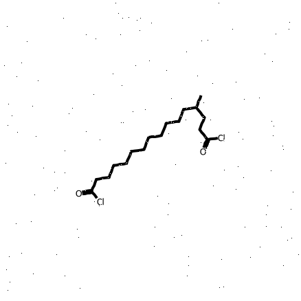 CC(CCCCCCCCCCCC(=O)Cl)CCC(=O)Cl